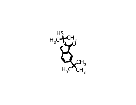 CC(C)(C)c1ccc2c(c1)C(=O)N(C(C)(C)S)C2